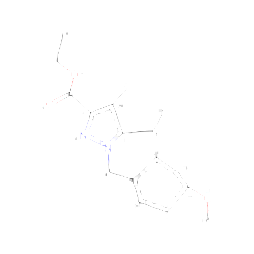 CCOC(=O)c1nn(Cc2ccc(OC)cc2)c(CC)c1C